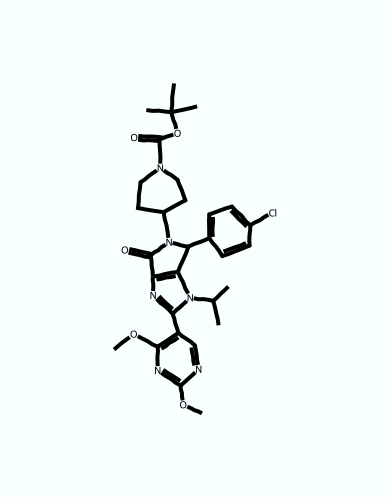 COc1ncc(-c2nc3c(n2C(C)C)C(c2ccc(Cl)cc2)N(C2CCN(C(=O)OC(C)(C)C)CC2)C3=O)c(OC)n1